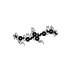 COc1cc(C(=O)Oc2ccc(C=CC(=O)c3cc(N)ccc3-c3ccc(N)c(C)c3C(=O)C=Cc3ccc(OC(=O)c4ccc(OC(F)(F)C(F)F)c(OC)c4)cc3)cc2)ccc1OC(F)(F)C(F)F